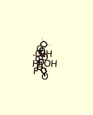 C[C@@H]1C[C@H](C)C[C@@H](OC(=O)O[C@@]2(C(=O)O)[C@H](C)C[C@H]3[C@@H]4C[C@H](F)C5=CC(=O)C=C[C@]5(C)C4(F)[C@@H](O)C[C@@]32C)C1